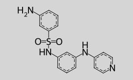 Nc1cccc(S(=O)(=O)Nc2cccc(Nc3ccncc3)c2)c1